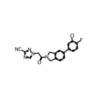 N#Cc1ncn(CC(=O)N2Cc3ccc(-c4ccc(F)c(Cl)c4)cc3C2)n1